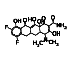 CN(C)C1C(O)=C(C(N)=O)C(=O)C2(O)C(O)=C3C(=O)c4c(O)c(F)cc(F)c4CC3CC12